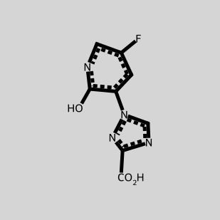 O=C(O)c1ncn(-c2cc(F)cnc2O)n1